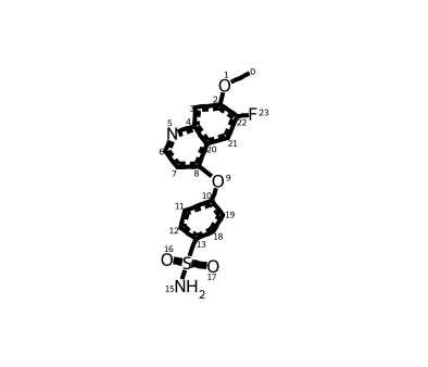 COc1cc2nccc(Oc3ccc(S(N)(=O)=O)cc3)c2cc1F